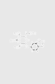 CC(=O)OC[C@H]1OC(Oc2ccc3c(c2)OCO3)[C@H](OC(C)=O)[C@@H](OC(C)=O)[C@@H]1OC(C)=O